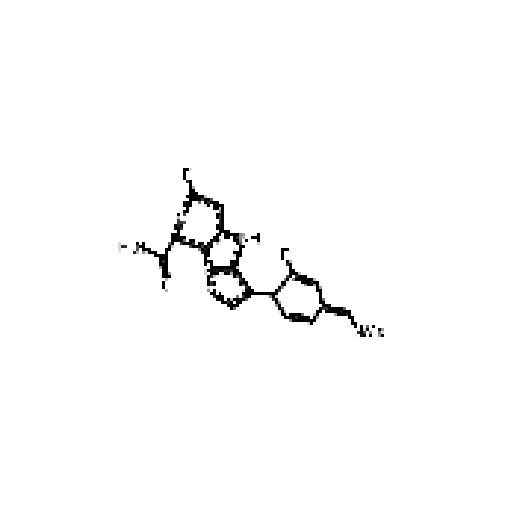 CN/C=C1\C=CC(c2cnn3c2[nH]c2cc(F)cc(C(N)=O)c23)C(F)=C1